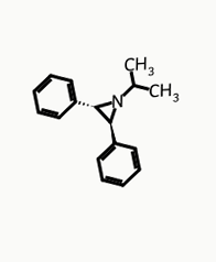 CC(C)N1[C@@H](c2ccccc2)[C@@H]1c1ccccc1